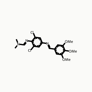 COc1cc(C=Nc2cc(Cl)c(N=CN(C)C)c(Cl)c2)cc(OC)c1OC